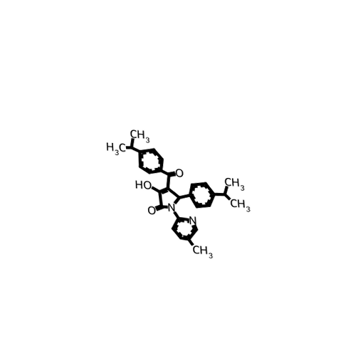 Cc1ccc(N2C(=O)C(O)=C(C(=O)c3ccc(C(C)C)cc3)C2c2ccc(C(C)C)cc2)nc1